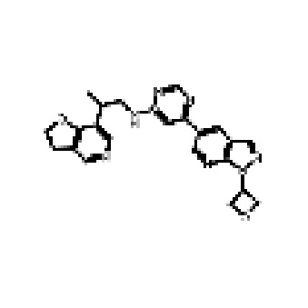 CC(CNc1cc(-c2cnc3c(cnn3C3COC3)c2)ncn1)c1cncc2c1OCC2